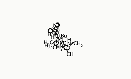 C#CCCC(NC(=O)[C@@H]1CC(C)(C)C(C)CN1C(=O)[C@@H](NC(=O)NC1(CS(=O)(=O)c2ccccn2)CCCCC1)C(C)(C)C)C(=O)C(=O)NCC=C